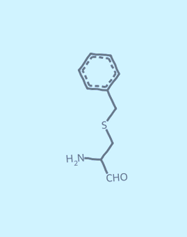 NC(C=O)CSCc1ccccc1